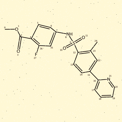 COC(=O)c1ccc(NS(=O)(=O)c2ccc(-c3ccccn3)cc2C)cc1F